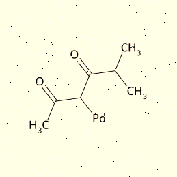 CC(=O)[CH]([Pd])C(=O)C(C)C